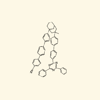 CC1(c2ccc(-c3ccc(-c4nc(-c5ccccc5)nc(-c5ccccc5)n4)cc3)cc2)CC2CCCC(c3ccc(-c4ccc(-c5ccc(C#N)cc5)cc4)cc3)(C2)C1